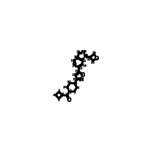 O=C(C1CCC1)N1CCC(c2cc(-c3cc4c(cn3)cnn4C3COC3)on2)CC1